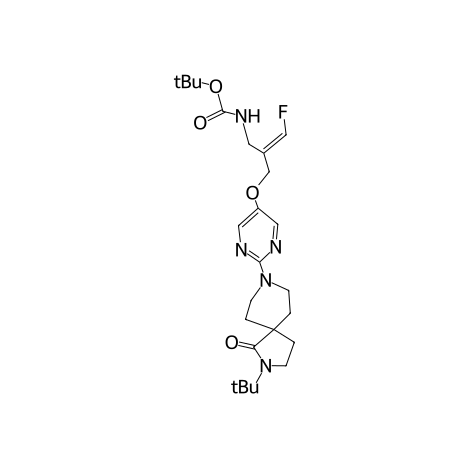 CC(C)(C)OC(=O)NC/C(=C\F)COc1cnc(N2CCC3(CC2)CCN(C(C)(C)C)C3=O)nc1